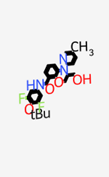 Cc1ccc(N2c3cccc(C(=O)Nc4cc(F)c(OC(C)(C)C)c(F)c4)c3OCC2CO)nc1